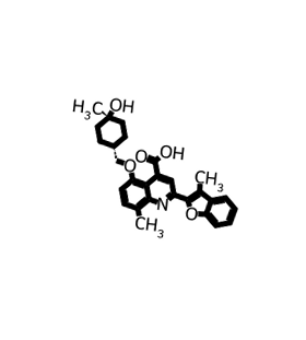 Cc1c(-c2cc(C(=O)O)c3c(OC[C@H]4CC[C@](C)(O)CC4)ccc(C)c3n2)oc2ccccc12